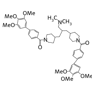 COc1cc(-c2ccc(C(=O)N3CCC(CC(CC4CCN(C(=O)c5ccc(-c6cc(OC)c(OC)c(OC)c6)cc5)CC4)CN(C)C)CC3)cc2)cc(OC)c1OC